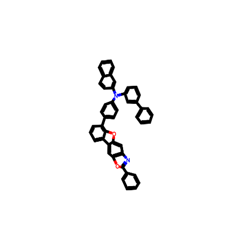 c1ccc(-c2cccc(N(c3ccc(-c4cccc5c4oc4cc6nc(-c7ccccc7)oc6cc45)cc3)c3ccc4ccccc4c3)c2)cc1